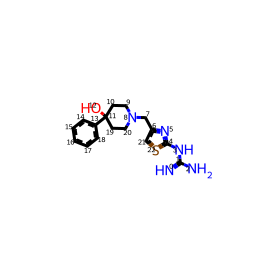 N=C(N)Nc1nc(CN2CCC(O)(c3ccccc3)CC2)cs1